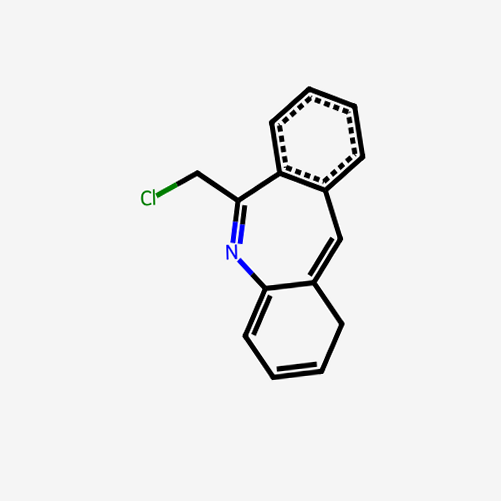 ClCC1=NC2=CC=CCC2=Cc2ccccc21